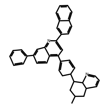 CC1CC2C=CC=NC2C(C2C=CC(c3cc(-c4ccc5ccccc5c4)nc4cc(-c5ccccc5)ccc34)=CC2)C1